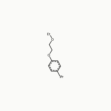 CCOCCOc1ccc(C(C)C)cc1